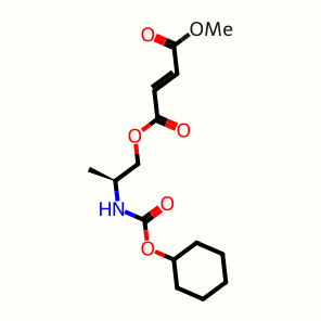 COC(=O)/C=C/C(=O)OC[C@H](C)NC(=O)OC1CCCCC1